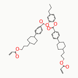 C=CC(=O)OCCCC1CCC(c2ccc(C(=O)Oc3ccc(CCC)cc3OC(=O)c3ccc(C4CCC(CCCOC(=O)C=C)CC4)cc3)cc2)CC1